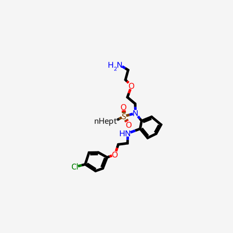 CCCCCCCS(=O)(=O)N(CCOCCN)c1ccccc1NCCOc1ccc(Cl)cc1